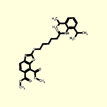 COC(=O)c1ccc2nc(SCCCCCC(=O)Nc3c(C(C)C)cccc3C(C)C)oc2c1C(=O)OC